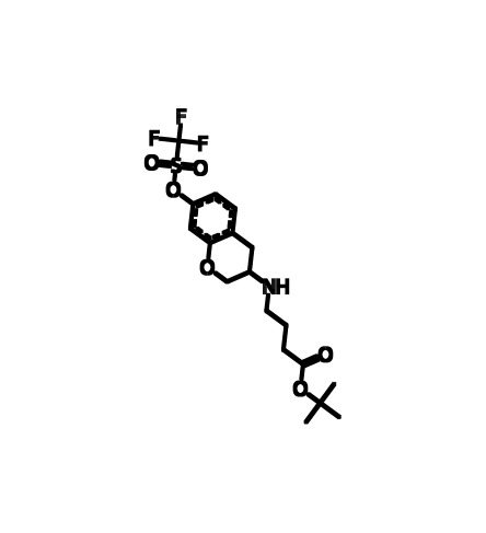 CC(C)(C)OC(=O)CCCNC1COc2cc(OS(=O)(=O)C(F)(F)F)ccc2C1